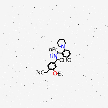 CCCC(NC(C=O)c1ccc(CC#N)c(OCC)c1)c1ccccc1N1CCCCC1